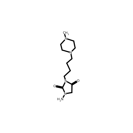 CN1CCN(CCCCN2C(=O)CN(N)C2=O)CC1